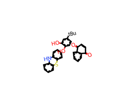 CC(C)(C)c1ccc(O)c(O)c1.O=C1C=CC(=O)c2ccccc21.c1ccc2c(c1)Nc1ccccc1S2